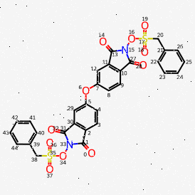 O=C1c2ccc(Oc3ccc4c(c3)C(=O)N(OS(=O)(=O)Cc3ccccc3)C4=O)cc2C(=O)N1OS(=O)(=O)Cc1ccccc1